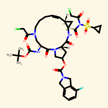 CC(C)(C)OC(=O)N[C@H]1CN(C(=O)CCl)CCC/C=C\[C@@H]2C[C@@]2(C(=O)N(C(=O)CCl)S(=O)(=O)C2CC2)NC(=O)[C@@H]2CC(OC(=O)N3Cc4cccc(F)c4C3)CN2C1=O